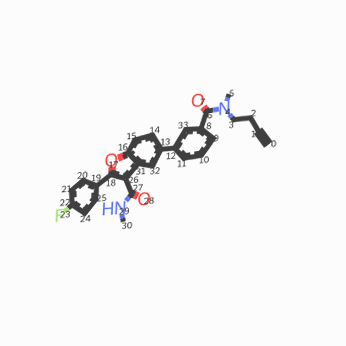 C#CCCN(C)C(=O)c1cccc(-c2ccc3oc(-c4ccc(F)cc4)c(C(=O)NC)c3c2)c1